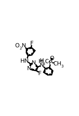 CP(C)(=O)c1ccccc1Nc1nc(Nc2ccc(F)c([N+](=O)[O-])c2)ncc1F